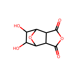 O=C1OC(=O)C2C3OC(C(O)C3O)C12